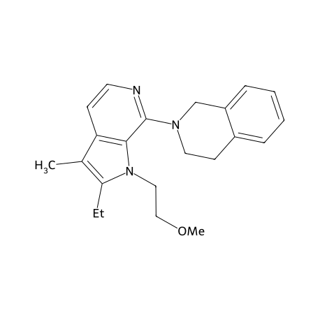 CCc1c(C)c2ccnc(N3CCc4ccccc4C3)c2n1CCOC